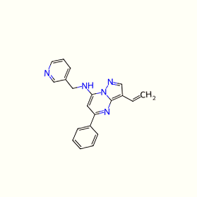 C=Cc1cnn2c(NCc3cccnc3)cc(-c3ccccc3)nc12